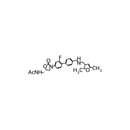 CC(=O)NC[C@H]1CN(c2ccc(-c3ccc(CNCC4C=C(C)OC4C)cc3)c(F)c2)C(=O)O1